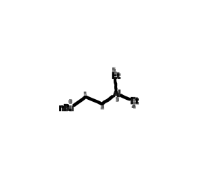 CCCCC[CH2][Al]([CH2]C)[CH2]C